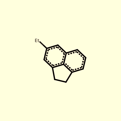 [CH2]Cc1cc2c3c(cccc3c1)CC2